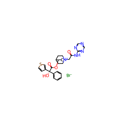 O=C(C[N+]12CCC(CC1)C(OC(=O)[C@@](O)(c1ccccc1)c1ccsc1)C2)Nc1ncncn1.[Br-]